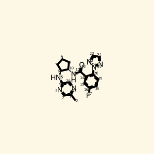 Cc1cnc(N[C@H]2CCC[C@@H]2NC(=O)c2cc(F)ccc2-n2nccn2)cn1